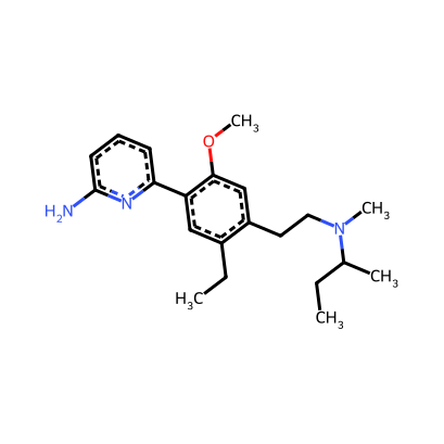 CCc1cc(-c2cccc(N)n2)c(OC)cc1CCN(C)C(C)CC